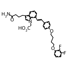 NC(=O)CCCc1cn(CC(=O)O)c2c(C=Cc3ccc(OCCCCOc4cccc(F)c4F)cc3)cccc12